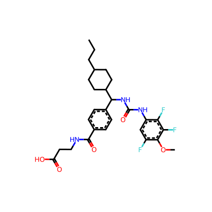 CCCC1CCC(C(NC(=O)Nc2cc(F)c(OC)c(F)c2F)c2ccc(C(=O)NCCC(=O)O)cc2)CC1